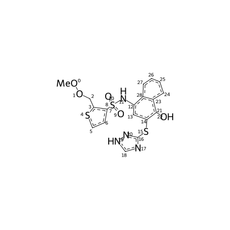 COOCc1sccc1S(=O)(=O)Nc1cc(Sc2nc[nH]n2)c(O)c2ccccc12